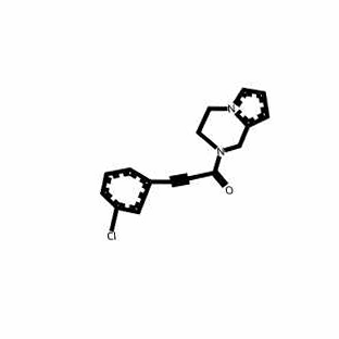 O=C(C#Cc1cccc(Cl)c1)N1CCn2cccc2C1